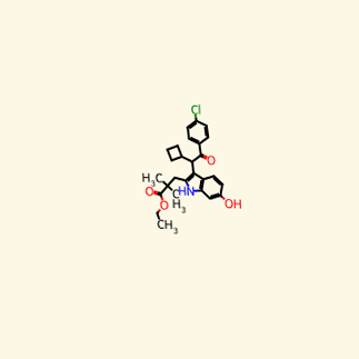 CCOC(=O)C(C)(C)Cc1[nH]c2cc(O)ccc2c1C(C(=O)c1ccc(Cl)cc1)C1CCC1